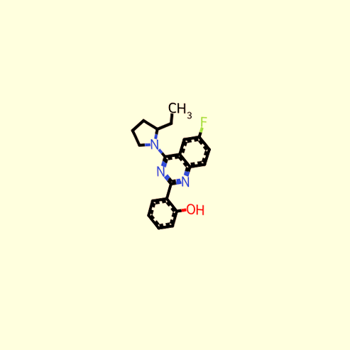 CCC1CCCN1c1nc(-c2ccccc2O)nc2ccc(F)cc12